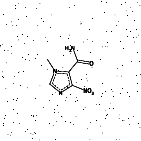 Cn1cnc([N+](=O)[O-])c1C(N)=O